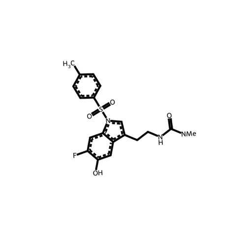 CNC(=O)NCCc1cn(S(=O)(=O)c2ccc(C)cc2)c2cc(F)c(O)cc12